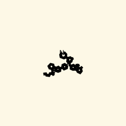 C=C/C=C\C=C(/C)n1c2c(c3cc(-c4ccc(N(C5=CC(C)CC(C6=CC=CN=CC6)=C5)c5ccc6c(c5)C(C)(C)C5=C6C=CCC5C)cc4)ccc31)CCC=C2